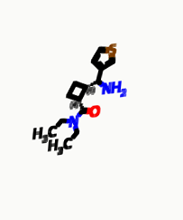 CCN(CC)C(=O)[C@@H]1CC[C@@H]1C(N)c1ccsc1